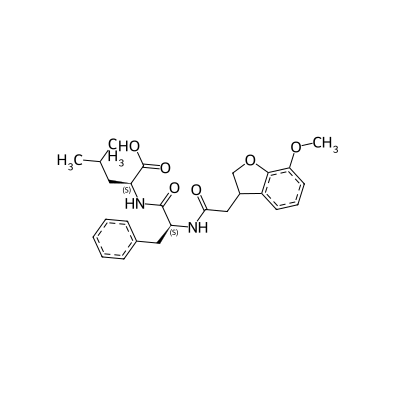 COc1cccc2c1OCC2CC(=O)N[C@@H](Cc1ccccc1)C(=O)N[C@@H](CC(C)C)C(=O)O